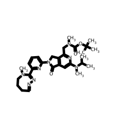 CC(C)N(C)c1cc2c(c(CN(C)C(=O)OC(C)(C)C)n1)CN(c1cccc(/C3=N/N=C/CCCN3C)n1)C2=O